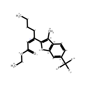 CCCC/C(=C/C(=O)OCC)c1sc2cc(C(F)(F)F)ccc2c1C